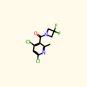 Cc1nc(Cl)cc(Cl)c1C(=O)N1CC(F)(F)C1